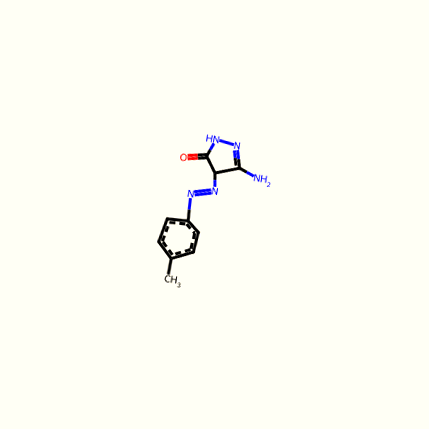 Cc1ccc(N=NC2C(=O)NN=C2N)cc1